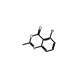 Cc1nc2cccc(Br)c2c(=O)o1